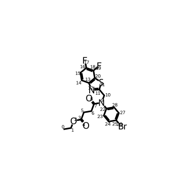 CCOC(=O)CCC(=O)N(Cc1nc2ccc(F)c(F)c2s1)c1ccc(Br)cc1